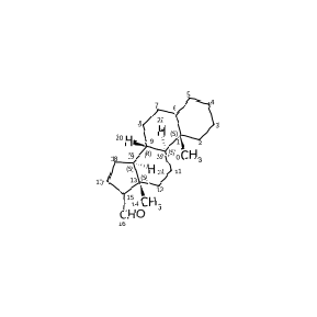 C[C@]12CCCCC1CC[C@@H]1[C@@H]2CC[C@]2(C)C(C=O)CC[C@@H]12